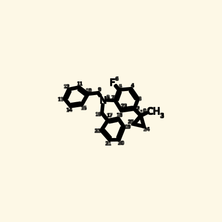 CC1(c2ccc(F)c(N(Cc3ccccc3)Cc3ccccc3)c2)CC1